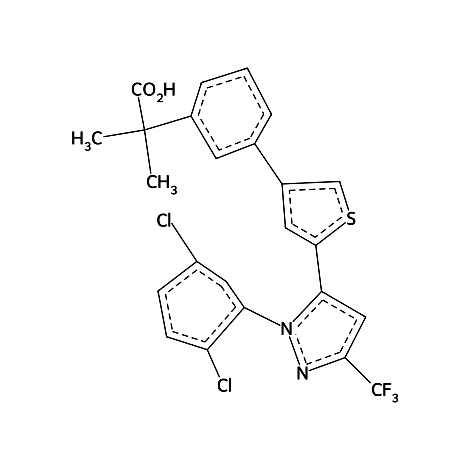 CC(C)(C(=O)O)c1cccc(-c2csc(-c3cc(C(F)(F)F)nn3-c3cc(Cl)ccc3Cl)c2)c1